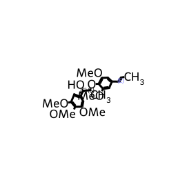 C/C=C/c1cc(OC)c(O[C@@H](C)[C@@H](O)c2cc(OC)c(OC)c(OC)c2)c(OC)c1